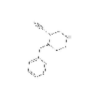 N#CC1CNCCN1Cc1ccccc1